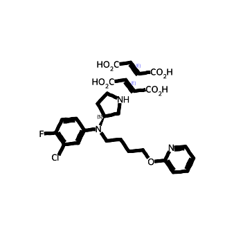 Fc1ccc(N(CCCCOc2ccccn2)[C@H]2CCNC2)cc1Cl.O=C(O)/C=C/C(=O)O.O=C(O)/C=C/C(=O)O